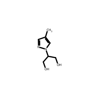 Cc1cnn(C(CO)CO)c1